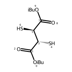 CC(C)COC(=O)[C@@H](S)[C@@H](S)C(=O)OCC(C)C